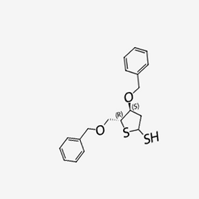 SC1C[C@H](OCc2ccccc2)[C@@H](COCc2ccccc2)S1